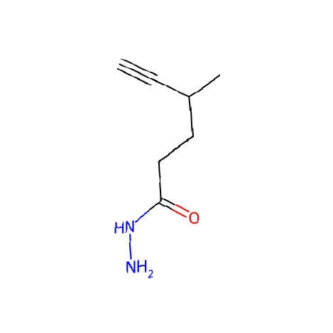 C#CC(C)CCC(=O)NN